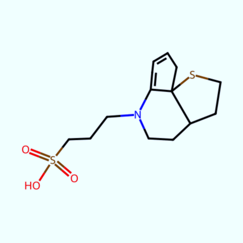 O=S(=O)(O)CCCN1CCC2CCSC23CC=CC=C13